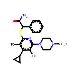 N#Cc1c(SC(C(N)=O)c2ccccc2)nc(N2CCN(C(=O)O)CC2)c(C#N)c1C1CC1